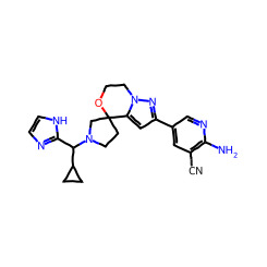 N#Cc1cc(-c2cc3n(n2)CCOC32CCN(C(c3ncc[nH]3)C3CC3)C2)cnc1N